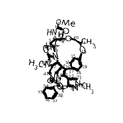 COC(=O)N[C@H]1C[C@H]2C[C@H]1OCC(C)Oc1ccc(cc1)-c1c(-c3cn(C)nc3F)n(S(=O)(=O)c3ccccc3)c3ncc4c(c13)n2c(=O)n4C